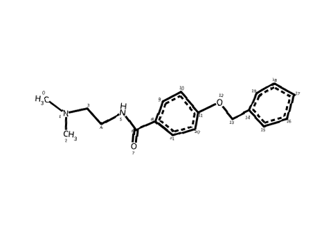 CN(C)CCNC(=O)c1ccc(OCc2ccccc2)cc1